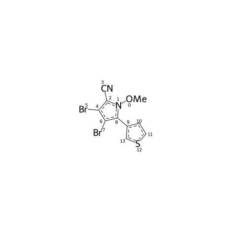 COn1c(C#N)c(Br)c(Br)c1-c1ccsc1